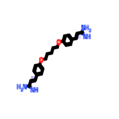 N=C(N)/C=C/c1ccc(OCCCCCOc2ccc(/C=C/C(=N)N)cc2)cc1